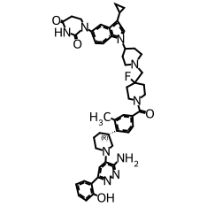 Cc1cc(C(=O)N2CCC(F)(CN3CCC(n4cc(C5CC5)c5cc(N6CCC(=O)NC6=O)ccc54)CC3)CC2)ccc1[C@H]1CCCN(c2cc(-c3ccccc3O)nnc2N)C1